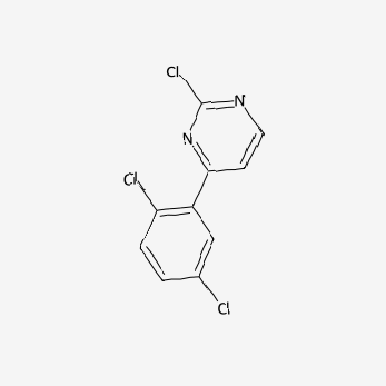 Clc1ccc(Cl)c(-c2ccnc(Cl)n2)c1